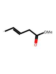 [CH2]C=CCC(=O)OC